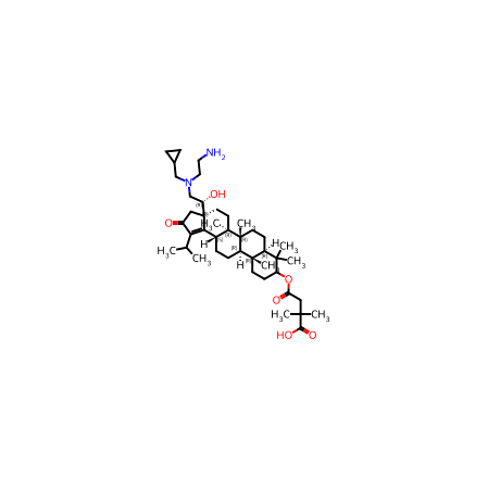 CC(C)C1=C2[C@H]3CC[C@@H]4[C@@]5(C)CCC(OC(=O)CC(C)(C)C(=O)O)C(C)(C)[C@@H]5CC[C@@]4(C)[C@]3(C)CC[C@@]2([C@@H](O)CN(CCN)CC2CC2)CC1=O